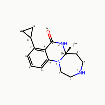 O=C1N[C@@H]2CCNCCN2c2cccc(C3CC3)c21